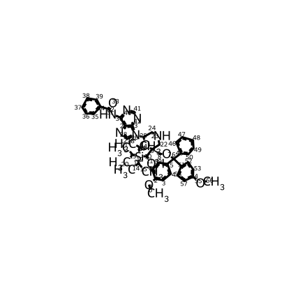 COc1ccc(C(OC[C@]2(C(O)[Si](C(C)C)(C(C)C)C(C)C)CNC[C@H](n3cnc4c(NC(=O)c5ccccc5)ncnc43)O2)(c2ccccc2)c2ccc(OC)cc2)cc1